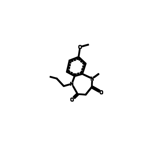 CCCN1C(=O)CC(=O)N(C)c2cc(OC)ccc21